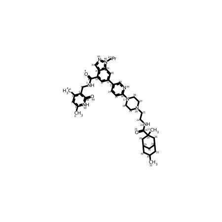 Cc1cc(C)c(CNC(=O)c2cc(-c3ccc(N4CCN(CCNC(=O)C5(C)CC6CC(C)CC(C6)C5)CC4)nc3)cc3c2cnn3C(C)C)c(=O)[nH]1